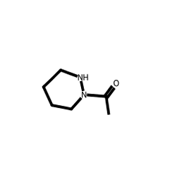 CC(=O)N1CCCCN1